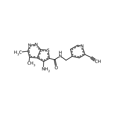 C#Cc1cc(CNC(=O)c2sc3nnc(C)c(C)c3c2N)ccn1